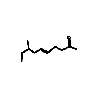 CCC(C)CC=CCCC(C)=O